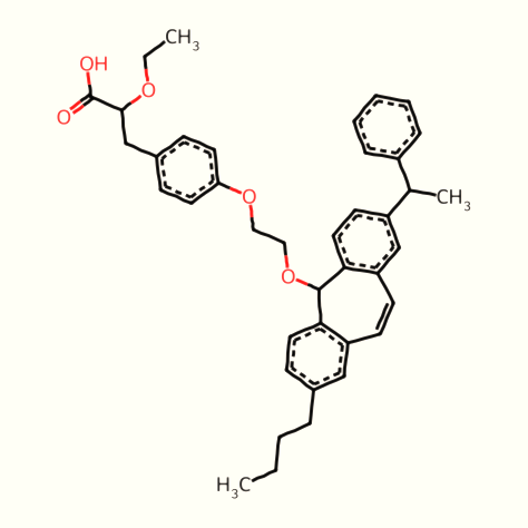 CCCCc1ccc2c(c1)C=Cc1cc(C(C)c3ccccc3)ccc1C2OCCOc1ccc(CC(OCC)C(=O)O)cc1